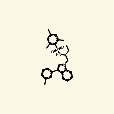 CC[C@@H](Cn1cc(-c2cccc(C)c2)c2ccccc21)NS(=O)(=O)c1c(C)cc(C)cc1C